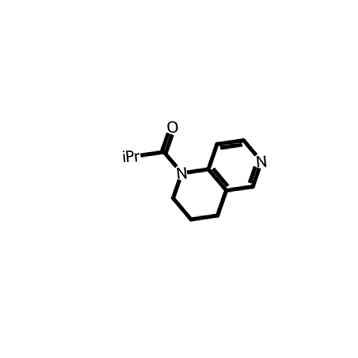 CC(C)C(=O)N1CCCc2cnccc21